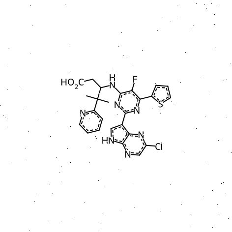 CC(C)(c1ccccn1)C(CC(=O)O)Nc1nc(-c2c[nH]c3ncc(Cl)nc23)nc(-c2cccs2)c1F